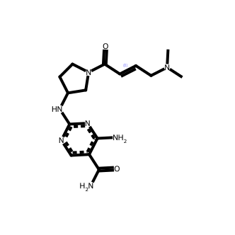 CN(C)C/C=C/C(=O)N1CCC(Nc2ncc(C(N)=O)c(N)n2)C1